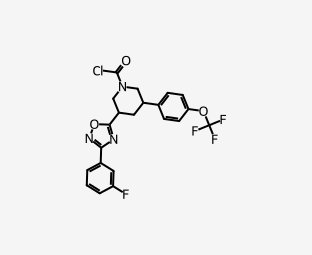 O=C(Cl)N1CC(c2ccc(OC(F)(F)F)cc2)CC(c2nc(-c3cccc(F)c3)no2)C1